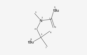 C=C(N(C)CC(C)(C)C(C)(C)C)C(C)(C)C